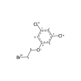 Clc1cc(Cl)cc(OCCBr)c1